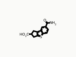 NC(=O)c1ccc2sc3c(c2c1)CC(C(=O)O)C3